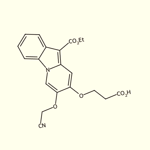 CCOC(=O)c1c2ccccc2n2cc(OCC#N)c(OCCC(=O)O)cc12